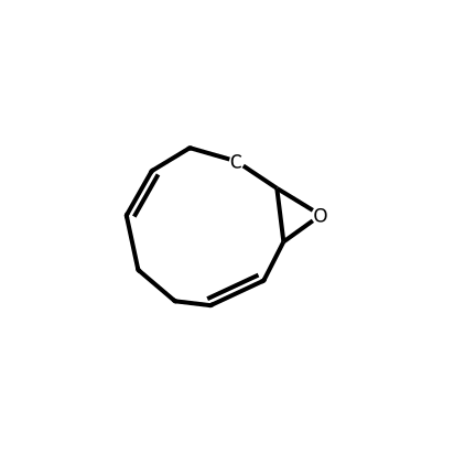 C1=CCCC2OC2C=CCC1